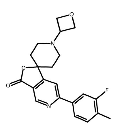 Cc1ccc(-c2cc3c(cn2)C(=O)OC32CCN(C3COC3)CC2)cc1F